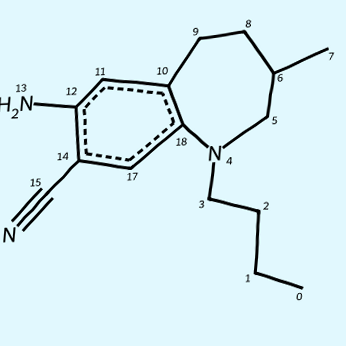 CCCCN1CC(C)CCc2cc(N)c(C#N)cc21